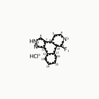 Cl.Fc1nccc2c3c[nH]nc3c3ccccc3c12